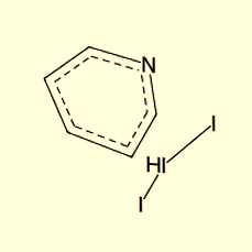 I[IH]I.c1ccncc1